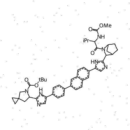 COC(=O)NC(C(=O)N1C2CCC(C2)C1c1ncc(-c2ccc3cc(-c4ccc(-c5cnc(C6CC7(CC7)CN6C(=O)OC(C)(C)C)[nH]5)cc4)ccc3c2)[nH]1)C(C)C